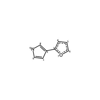 C1=CC(c2ccco2)=C[N]1